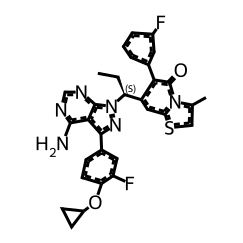 CC[C@@H](c1cc2scc(C)n2c(=O)c1-c1cccc(F)c1)n1nc(-c2ccc(OC3CC3)c(F)c2)c2c(N)ncnc21